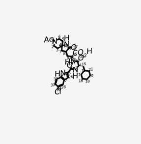 CC(=O)N1CCC2(CC1)CC(CC(NC(=O)[C@H](CC1CCCCC1)NC(=O)c1cc3cc(Cl)ccc3[nH]1)C(=O)O)C(=O)N2